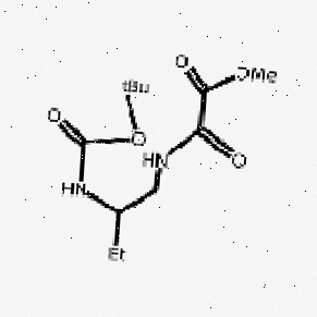 CCC(CNC(=O)C(=O)OC)NC(=O)OC(C)(C)C